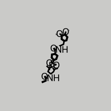 C=CC(=O)NC1CC(C)N(S(=O)(=O)c2ccc(C(=O)NCCc3ccc(OC)c(OC)c3)cc2)C(C)C1